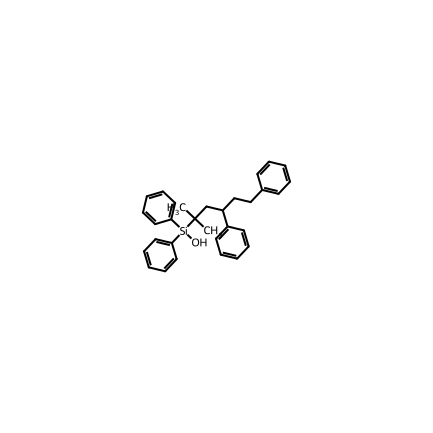 CC(C)(CC(CCc1ccccc1)c1ccccc1)[Si](O)(c1ccccc1)c1ccccc1